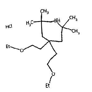 CCOCCC1(CCOCC)CC(C)(C)NC(C)(C)C1.Cl